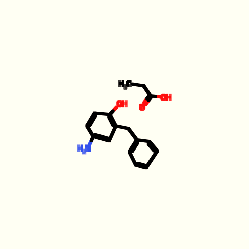 CCC(=O)O.Nc1ccc(O)c(Cc2ccccc2)c1